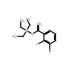 C=C(O[Si](CC)(CC)CC)c1cccc(Br)c1F